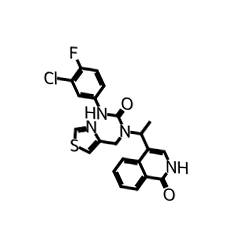 CC(c1c[nH]c(=O)c2ccccc12)N(Cc1cscn1)C(=O)Nc1ccc(F)c(Cl)c1